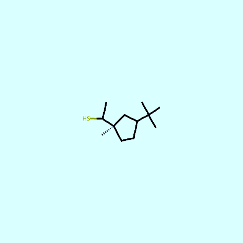 CC(S)[C@]1(C)CCC(C(C)(C)C)C1